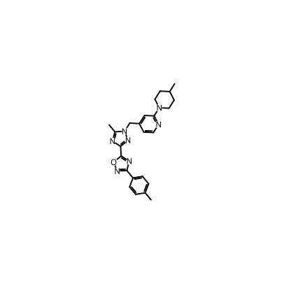 Cc1ccc(-c2noc(-c3nc(C)n(Cc4ccnc(N5CCC(C)CC5)c4)n3)n2)cc1